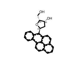 OC[C@H]1O[C@H](c2c3ccccc3c3ccc4cccc5ccc2c3c54)C[C@H]1O